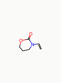 C=CN1CCCOC1=O